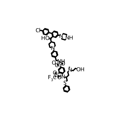 CN(CCO)CCC(CSc1ccccc1)Nc1ccc(S(=O)(=O)NC(=O)c2ccc(N3CCC([C@@H](O)c4cc(N5CCNCC5)ccc4-c4ccc(Cl)cc4)CC3)cc2)cc1S(=O)(=O)C(F)(F)F